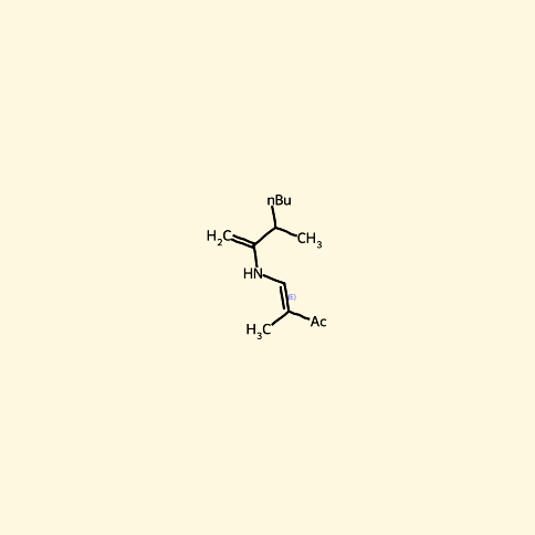 C=C(N/C=C(\C)C(C)=O)C(C)CCCC